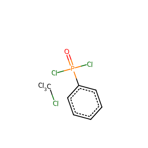 ClC(Cl)(Cl)Cl.O=P(Cl)(Cl)c1ccccc1